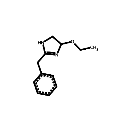 CCOC1CNC(Cc2ccccc2)=N1